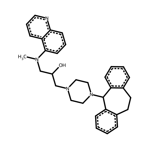 CN(CC(O)CN1CCN(C2c3ccccc3CCc3ccccc32)CC1)c1cccc2ncccc12